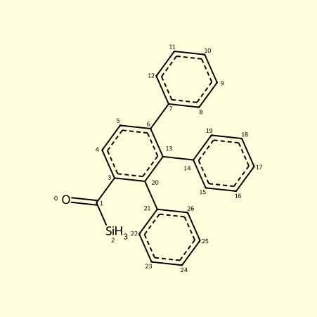 O=C([SiH3])c1ccc(-c2ccccc2)c(-c2ccccc2)c1-c1ccccc1